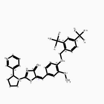 COc1cc(/C=C2/SC(N3CCCC3c3cccnc3)=NC2=O)ccc1OCc1ccc(C(F)(F)F)cc1C(F)(F)F